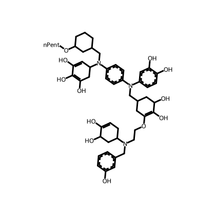 CCCCCOC1CCCC(CN(c2ccc(N(CC3CC(OCCN(Cc4cccc(O)c4)C4CC=C(O)C(O)C4)=C(O)C(O)C3)c3ccc(O)c(O)c3)cc2)C2C=C(O)C(O)=C(O)C2)C1